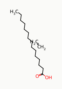 C=C.CCCCCCCCCCCCCCC(=O)O